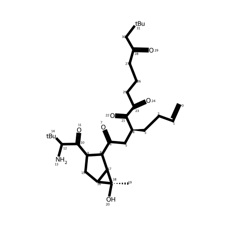 C=CCC[C@@H](CC(=O)C1C(C(=O)C(N)C(C)(C)C)CC2C1[C@@]2(C)O)C(=O)C(=O)CCCC(=O)CC(C)(C)C